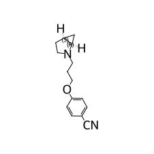 N#Cc1ccc(OCCCN2CC[C@H]3C[C@H]32)cc1